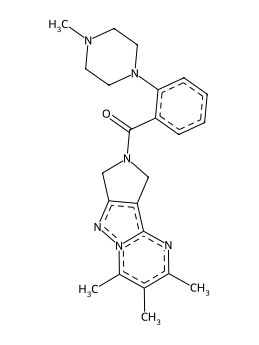 Cc1nc2c3c(nn2c(C)c1C)CN(C(=O)c1ccccc1N1CCN(C)CC1)C3